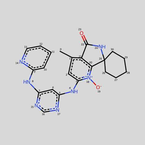 Cc1cc(Nc2cc(Nc3ccccn3)ncn2)[n+]([O-])c2c1C(=O)NC21CCCCC1